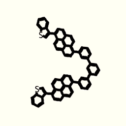 C1=CC2SC=C(c3ccc4ccc5c(-c6cccc(-c7cccc(-c8cccc(-c9ccc%10ccc%11c(-c%12csc%13ccccc%12%13)ccc%12ccc9c%10c%12%11)c8)c7)c6)ccc6ccc3c4c65)C2C=C1